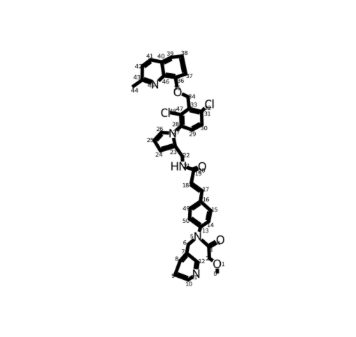 COCC(=O)N(Cc1cccnc1)c1ccc(C=CC(=O)NCc2cccn2-c2ccc(Cl)c(COc3cccc4ccc(C)nc34)c2Cl)cc1